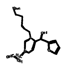 CCCCCCCCCCCCCCN1CN(C)C=C1C(O)c1ccco1.O=CO